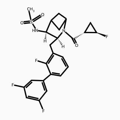 CS(=O)(=O)N[C@H]1C2CC(C2)N(C(=O)[C@@H]2C[C@H]2F)[C@H]1Cc1cccc(-c2cc(F)cc(F)c2)c1F